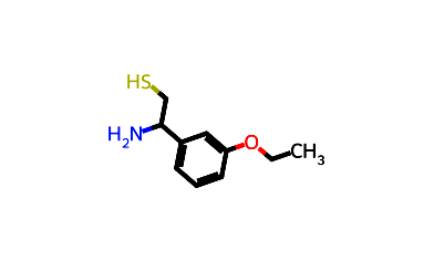 CCOc1cccc(C(N)CS)c1